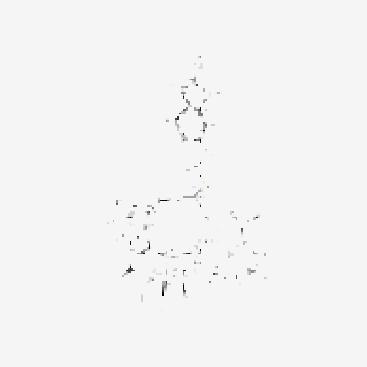 C[C@H]1C(=O)O[C@H](I)[C@@](C)(O)[C@@H]2CC/C(=N\OCc3ccc4oc(N)nc4c3)CO[C@](C)(C[C@@H](C)C(=O)[C@@H]2C)[C@H](O[C@@H]2O[C@H](C)C[C@H](N(C)C)[C@H]2O)[C@@H](C)C1=O